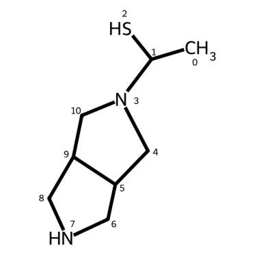 CC(S)N1CC2CNCC2C1